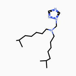 CC(C)CCCCCN(CCCCCC(C)C)Cn1cncn1